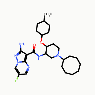 Nc1nn2cc(F)cnc2c1C(=O)NC1CN(C2CCCCCCC2)CCC1OC1CCC(C(=O)O)CC1